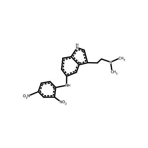 CN(C)CCc1c[nH]c2ccc(Nc3ccc([N+](=O)[O-])cc3[N+](=O)[O-])cc12